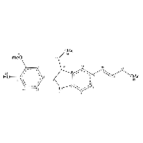 COc1cc(C2Oc3ccc(/C=C/COC(C)=O)cc3C2COC(C)=O)ccc1O